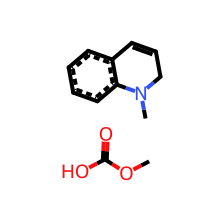 CN1CC=Cc2ccccc21.COC(=O)O